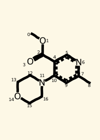 COC(=O)c1cnc(C)cc1N1CCOCC1